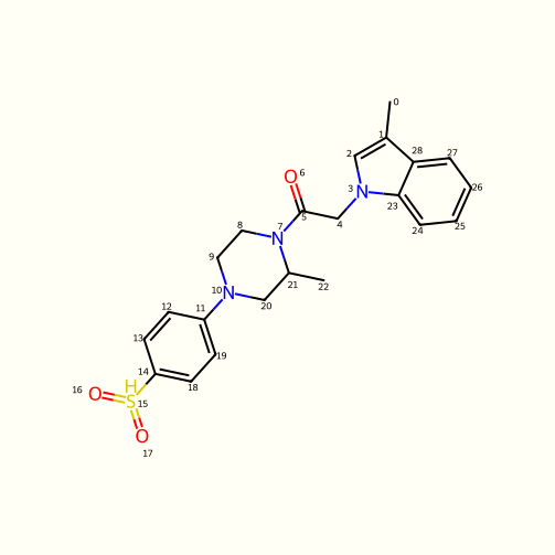 Cc1cn(CC(=O)N2CCN(c3ccc([SH](=O)=O)cc3)CC2C)c2ccccc12